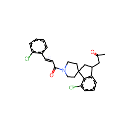 CC(=O)CC1CC2(CCN(C(=O)/C=C/c3ccccc3Cl)CC2)c2c(Cl)cccc21